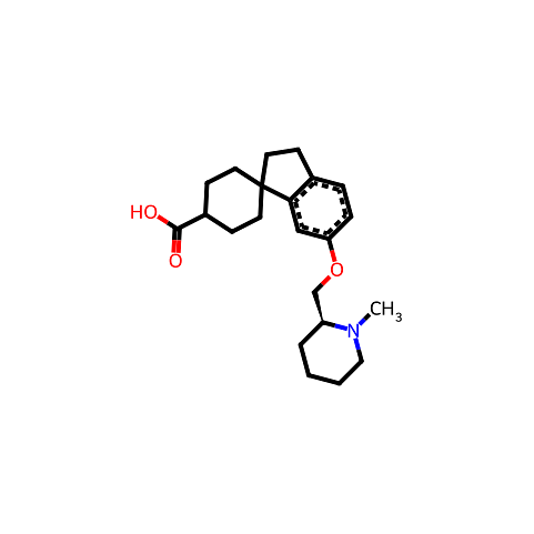 CN1CCCC[C@H]1COc1ccc2c(c1)C1(CC2)CCC(C(=O)O)CC1